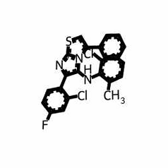 Cc1cccc(Cl)c1Nc1c(-c2ccc(F)cc2Cl)nc2scc(-c3ccccc3)n12